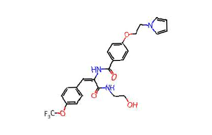 O=C(NCCO)/C(=C\c1ccc(OC(F)(F)F)cc1)NC(=O)c1ccc(OCCn2cccc2)cc1